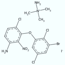 C[N+](C)(C)N.Nc1ccc(Cl)c(Oc2cc(Cl)cc(Br)c2Cl)c1[N+](=O)[O-].[I-]